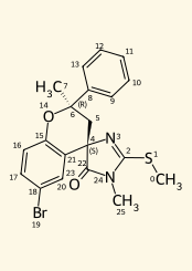 CSC1=N[C@]2(C[C@](C)(c3ccccc3)Oc3ccc(Br)cc32)C(=O)N1C